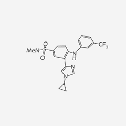 CNS(=O)(=O)c1ccc(Nc2cccc(C(F)(F)F)c2)c(-c2cn(C3CC3)cn2)c1